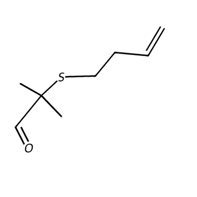 C=CCCSC(C)(C)C=O